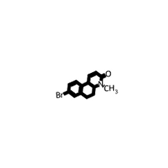 CN1C(=O)C=CC2c3ccc(Br)cc3CCC21